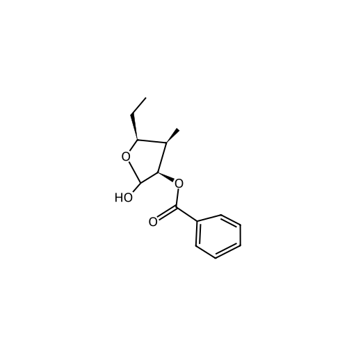 CC[C@@H]1OC(O)[C@H](OC(=O)c2ccccc2)[C@@H]1C